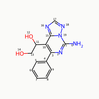 Nc1nc(-c2ccccc2)c(C(O)CO)c2ncnn12